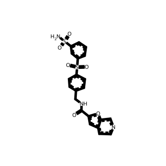 NS(=O)(=O)c1cccc(S(=O)(=O)c2ccc(CNC(=O)c3cc4ccncc4o3)cc2)c1